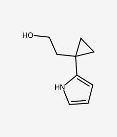 OCCC1(c2ccc[nH]2)CC1